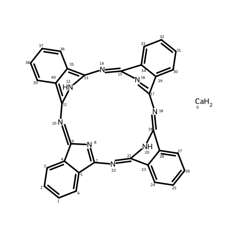 [CaH2].c1ccc2c(c1)-c1nc-2nc2[nH]c(nc3nc(nc4[nH]c(n1)c1ccccc41)-c1ccccc1-3)c1ccccc21